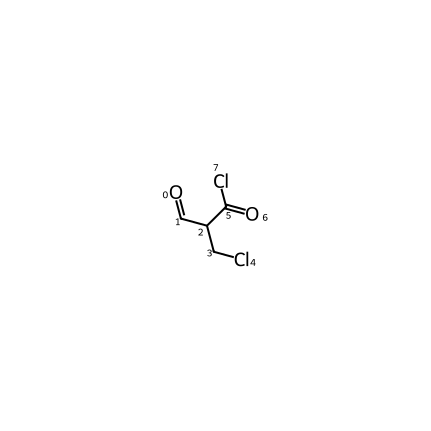 O=CC(CCl)C(=O)Cl